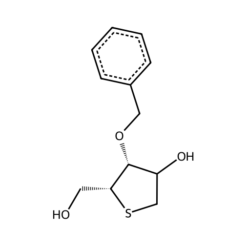 OC[C@H]1SCC(O)[C@H]1OCc1ccccc1